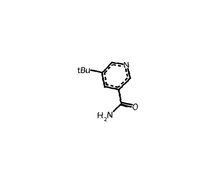 CC(C)(C)c1cncc(C(N)=O)c1